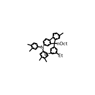 CCCCCCCCC1(c2cc(CC)cc(CC)c2)c2cc(C)ccc2-c2ccc(N(c3ccc(C)c(C)c3)c3ccc(C)c(C)c3)cc21